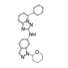 c1ccc(-c2cccc3nc(Nc4ccc5cnn(C6CCCCO6)c5c4)nn23)cc1